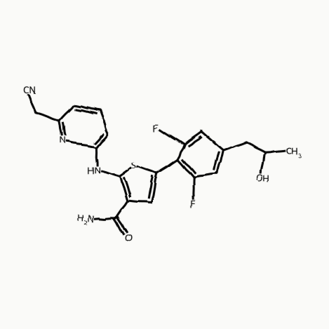 CC(O)Cc1cc(F)c(-c2cc(C(N)=O)c(Nc3cccc(CC#N)n3)s2)c(F)c1